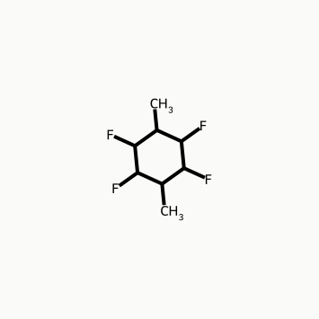 CC1C(F)C(F)C(C)C(F)C1F